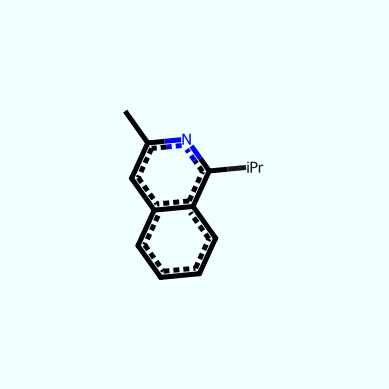 Cc1cc2ccccc2c(C(C)C)n1